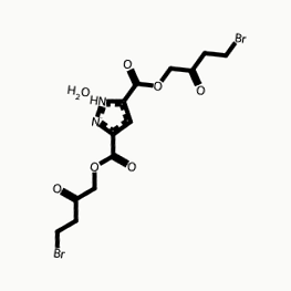 O.O=C(CCBr)COC(=O)c1cc(C(=O)OCC(=O)CCBr)[nH]n1